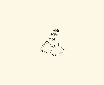 Br.Br.Br.c1ccc2ncccc2c1